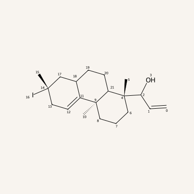 C=CC(O)[C@]1(C)CCC[C@@]2(C)C3=CC[C@](C)(I)CC3CCC12